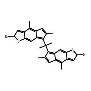 CC1=Cc2c(C)c3c(cc2=C1C(C)(C)C1=c2cc4c(c(C)c2C=C1C)=CC(Br)S4)SC(Br)C=3